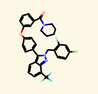 O=C(c1cccc(Oc2ccc(-c3c4cccc(C(F)(F)F)c4nn3Cc3ccc(Cl)cc3F)cc2)c1)N1CCCCC1